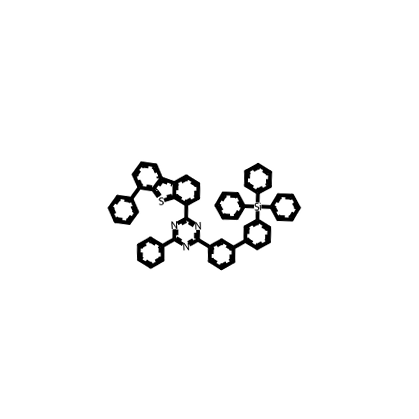 c1ccc(-c2nc(-c3cccc(-c4cccc([Si](c5ccccc5)(c5ccccc5)c5ccccc5)c4)c3)nc(-c3cccc4c3sc3c(-c5ccccc5)cccc34)n2)cc1